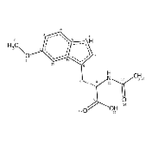 COc1ccc2[nH]cc(C[C@H](NC(C)=O)C(=O)O)c2c1